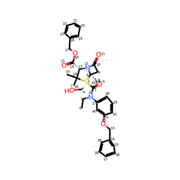 CCN(C(=O)[S@]1(CO)[C@@H]2CC(=O)N2[C@@H](C(=O)OCc2ccccc2)C1(C)C)c1cccc(OCc2ccccc2)c1